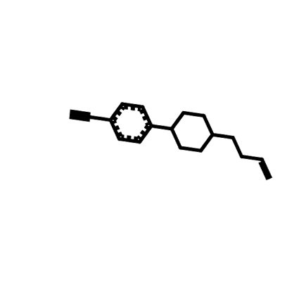 C#Cc1ccc(C2CCC(CCC=C)CC2)cc1